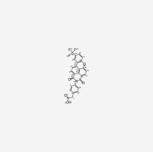 O=C(O)Cc1ccc(-n2c(=O)c3ccc4oc5ccc(C(F)(F)F)cc5c5ccc(c2=O)c3c45)cc1